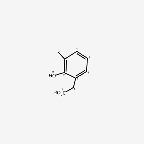 Cc1cccc(CC(=O)O)c1O